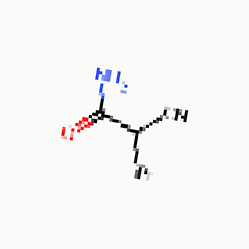 CC(C)C(C#N)C(N)=O